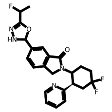 CC(F)C1=NNC(c2ccc3c(c2)C(=O)N(C2CCC(F)(F)C[C@H]2c2ccccn2)C3)O1